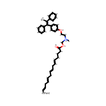 CCCCCC=CCC=CCC=CCC=CCCCC(=O)OCN(C)CCOc1ccc(/C(=C(/CC)c2ccccc2)c2ccccc2)cc1